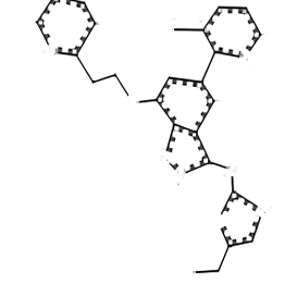 OCc1cnc(Nc2n[nH]c3c(OCCc4ccccn4)cc(-c4ncccc4Cl)cc23)s1